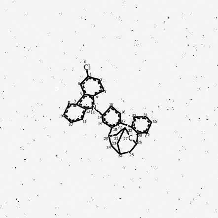 Clc1ccc2c(c1)c1ccccc1n2-c1ccc2c(c1)C1CC3CC(CC(C3)c3ccccc3-2)C1